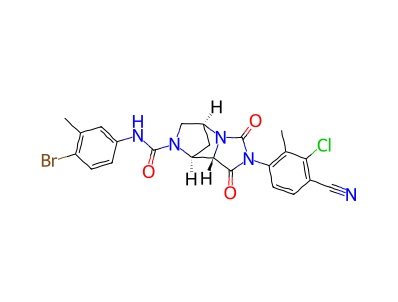 Cc1cc(NC(=O)N2C[C@@H]3C[C@H]2[C@H]2C(=O)N(c4ccc(C#N)c(Cl)c4C)C(=O)N32)ccc1Br